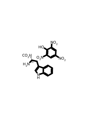 N[C@@H](Cc1c[nH]c2ccccc12)C(=O)O.O=[N+]([O-])c1cc([N+](=O)[O-])c(O)c([N+](=O)[O-])c1